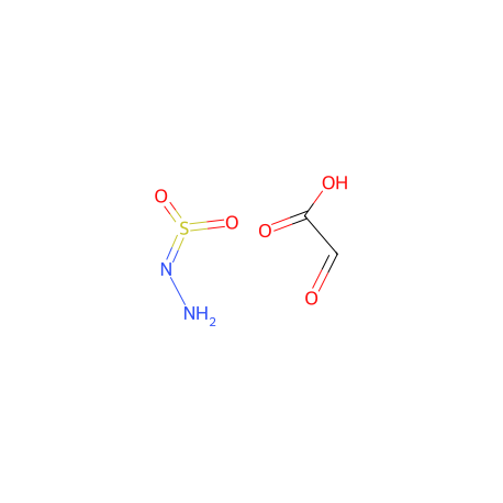 NN=S(=O)=O.O=CC(=O)O